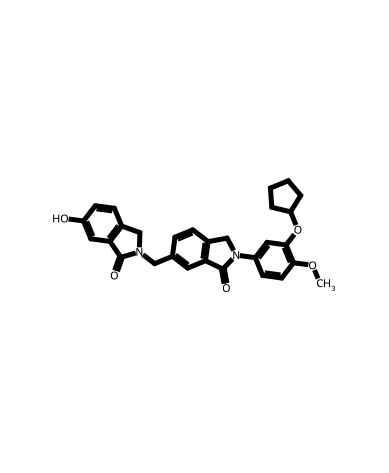 COc1ccc(N2Cc3ccc(CN4Cc5ccc(O)cc5C4=O)cc3C2=O)cc1OC1CCCC1